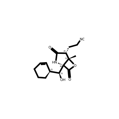 [C-]#[N+]CC[C@H]1C(=O)N[C@@]2([C@@H](O)[C@@H]3C=CCCC3)C(=O)O[C@@]12C